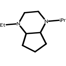 CCN1CCN(C(C)C)C2CCCC21